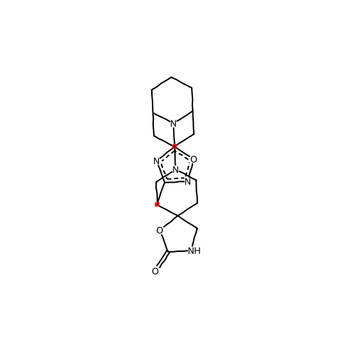 Cc1noc(N2C3CCCC2CC(N2CCC4(CC2)CNC(=O)O4)C3)n1